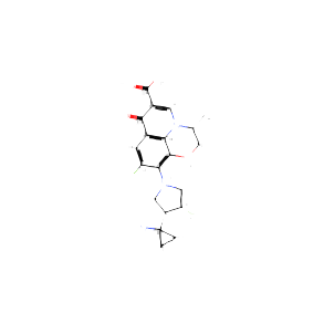 C[C@H]1COc2c(N3C[C@@H](F)[C@@H](C4(N)CC4)C3)c(F)cc3c(=O)c(C(=O)O)cn1c23